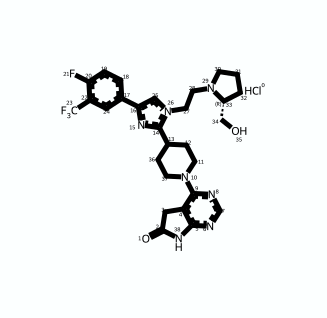 Cl.O=C1Cc2c(ncnc2N2CCC(c3nc(-c4ccc(F)c(C(F)(F)F)c4)cn3CCN3CCC[C@@H]3CO)CC2)N1